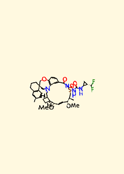 CO[C@H]1/C=C/[C@H](OC)[C@H](C)C[S@@](=O)(NC(=O)N[C@H]2C[C@@H]2C(F)F)=NC(=O)c2ccc3c(c2)N(C[C@@H]2CC[C@H]21)C[C@@]1(CCCc2cc(C)ccc21)CO3